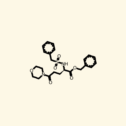 O=C(OCc1ccccc1)[C@@H](CCC(=O)N1CCOCC1)NS(=O)(=O)Cc1ccccc1